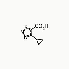 O=C(O)c1snnc1C1CC1